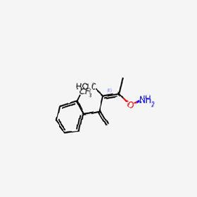 C=C(/C(C(=O)O)=C(/C)ON)c1ccccc1C(F)(F)F